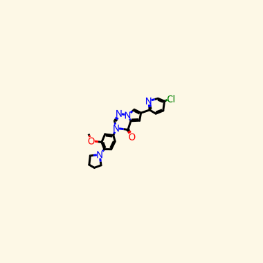 COc1cc(-n2cnn3cc(-c4ccc(Cl)cn4)cc3c2=O)ccc1N1CCCC1